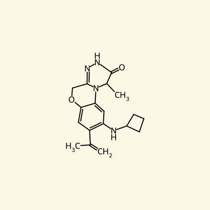 C=C(C)c1cc2c(cc1NC1CCC1)N1C(=NNC(=O)C1C)CO2